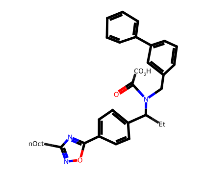 CCCCCCCCc1noc(-c2ccc(C(CC)N(Cc3cccc(-c4ccccc4)c3)C(=O)C(=O)O)cc2)n1